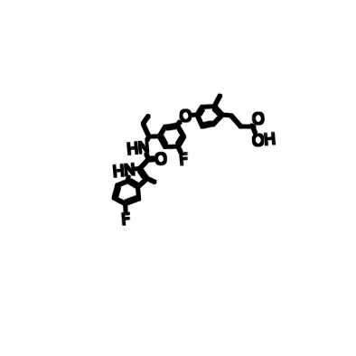 CCC(NC(=O)c1[nH]c2ccc(F)cc2c1C)c1cc(F)cc(Oc2ccc(CCC(=O)O)c(C)c2)c1